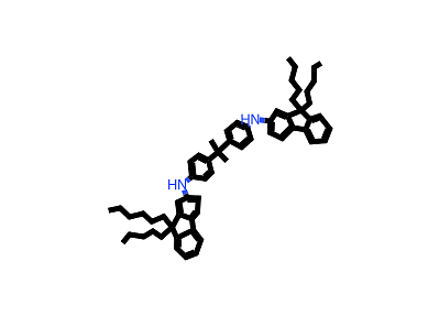 CCCCCCC1(CCCCC)c2ccccc2-c2ccc(Nc3ccc(C(C)(C)c4ccc(Nc5ccc6c(c5)C(CCCCC)(CCCCC)c5ccccc5-6)cc4)cc3)cc21